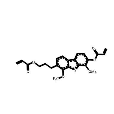 C=CC(=O)OCCCc1ccc2c(sc3c(OC)c(OC(=O)C=C)ccc32)c1OC(F)(F)F